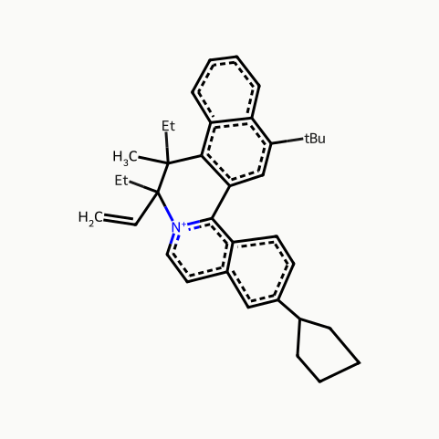 C=CC1(CC)[n+]2ccc3cc(C4CCCC4)ccc3c2-c2cc(C(C)(C)C)c3ccccc3c2C1(C)CC